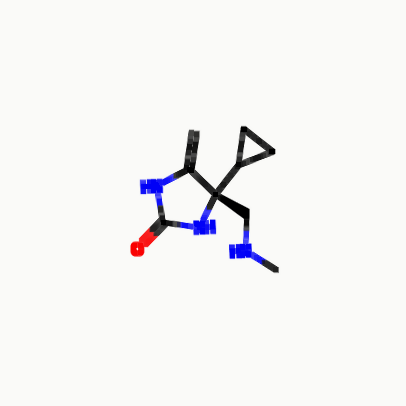 C=C1NC(=O)N[C@@]1(CNC)C1CC1